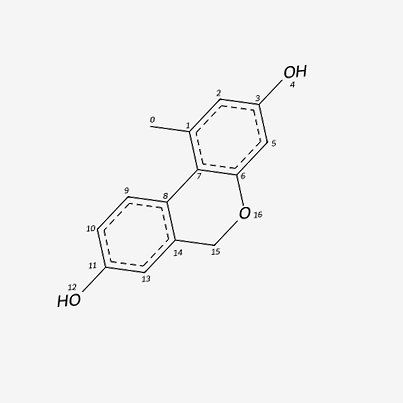 Cc1cc(O)cc2c1-c1ccc(O)cc1CO2